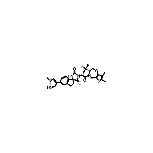 CN/C=C(\C=N)c1ccc2c(c1)CCC21NC(=O)N(CC(=O)N2Cc3sc(C)c(C)c3OC[C@@H]2C(F)(F)F)C1=O